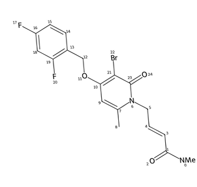 CNC(=O)C=CCn1c(C)cc(OCc2ccc(F)cc2F)c(Br)c1=O